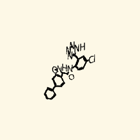 O=C(Nc1ccc(Cl)cc1-c1nnn[nH]1)c1noc2cc(-c3ccccc3)ccc12